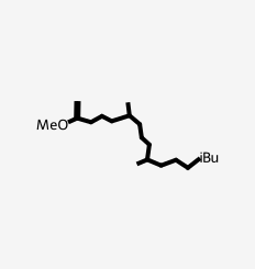 [CH2]CC(C)CCCC(C)CCCC(C)CCCC(=C)OC